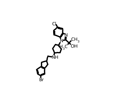 CC(C)(O)c1nc2cc(Cl)ccc2n1C1CCC(NCC2Cc3ccc(Br)cc3C2)CC1